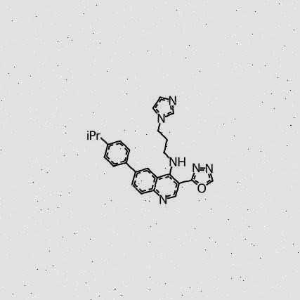 CC(C)c1ccc(-c2ccc3ncc(-c4nnco4)c(NCCCn4ccnc4)c3c2)cc1